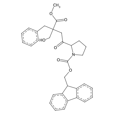 COC(=O)C(CO)(CC(=O)C1CCCN1C(=O)OCC1c2ccccc2-c2ccccc21)Cc1ccccc1